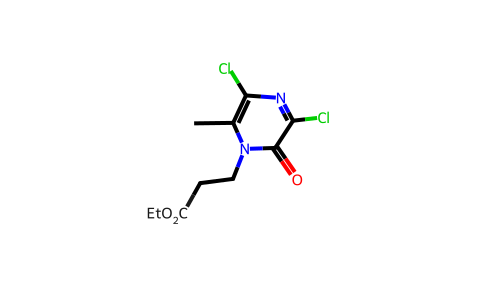 CCOC(=O)CCn1c(C)c(Cl)nc(Cl)c1=O